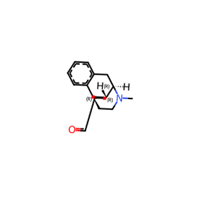 CN1CC[C@]23CC(C=O)CC[C@H]2[C@H]1Cc1ccccc13